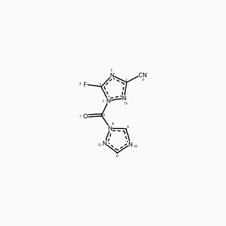 N#Cc1nc(F)n(C(=O)n2cncn2)n1